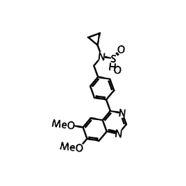 COc1cc2ncnc(-c3ccc(CN(C4CC4)[SH](=O)=O)cc3)c2cc1OC